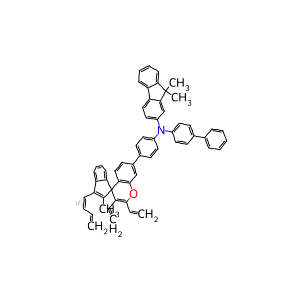 C=C/C=C\C1=C(C)C2(C(C=C)=C(C=C)Oc3cc(-c4ccc(N(c5ccc(-c6ccccc6)cc5)c5ccc6c(c5)C(C)(C)c5ccccc5-6)cc4)ccc32)c2ccccc21